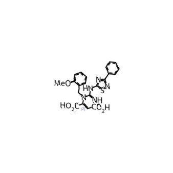 COc1ccccc1CN(C(=N)Nc1nc(-c2ccccc2)ns1)/C(=C\C(=O)O)C(=O)O